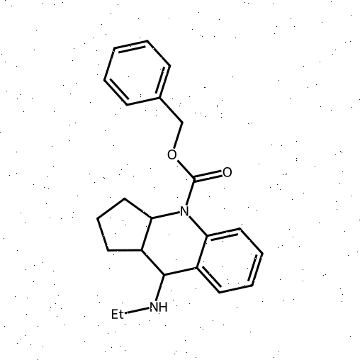 CCNC1c2ccccc2N(C(=O)OCc2ccccc2)C2CCCC12